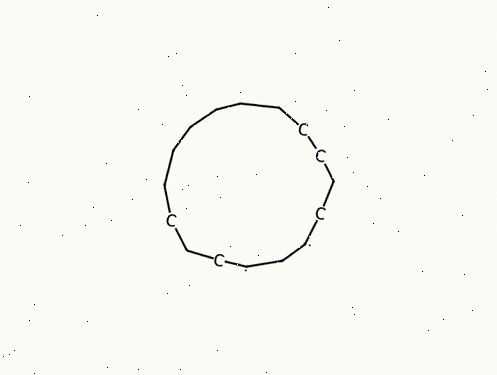 [CH]1C[CH]CCCCCCCCCCCCC1